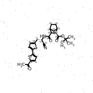 CC(=O)c1ccc(-c2ccc(C[C@@H](C#N)NC(=O)C3C4CCC(C4)N3C(=O)OC(C)(C)C)s2)s1